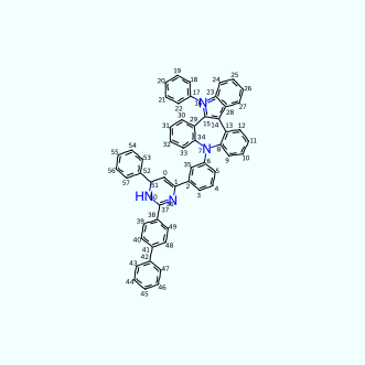 C1=C(c2cccc(N3c4ccccc4-c4c(n(-c5ccccc5)c5ccccc45)-c4ccccc43)c2)N=C(c2ccc(-c3ccccc3)cc2)NC1c1ccccc1